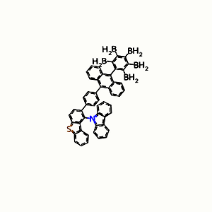 Bc1c(B)c(B)c(-c2c3ccccc3c(-c3ccc(-c4ccc5sc6ccccc6c5c4-n4c5ccccc5c5ccccc54)cc3)c3ccccc23)c(B)c1B